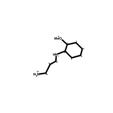 COC1CCCCC1NCCCN